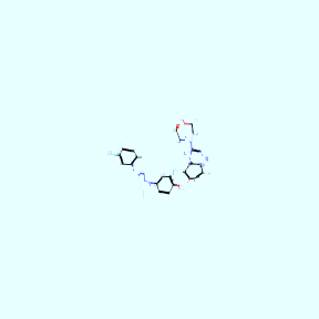 O=C(Nc1cccc(F)c1)Nc1ccc(Oc2ccc3ncc(N4CCOCC4)nc3c2)c(F)c1